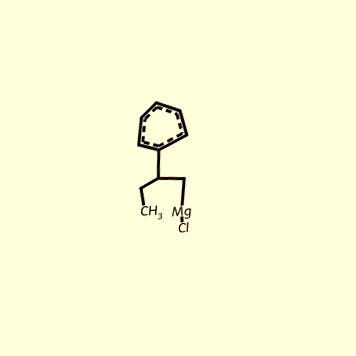 CCC([CH2][Mg][Cl])c1ccccc1